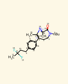 CCCCN1CC/C(c2ccc(CCC(C)(F)F)cc2)=C(C)\N=C(/C)C1=O